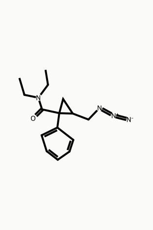 CCN(CC)C(=O)C1(c2ccccc2)CC1CN=[N+]=[N-]